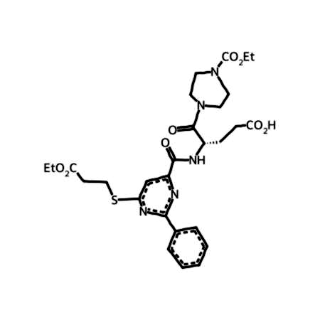 CCOC(=O)CCSc1cc(C(=O)N[C@@H](CCC(=O)O)C(=O)N2CCN(C(=O)OCC)CC2)nc(-c2ccccc2)n1